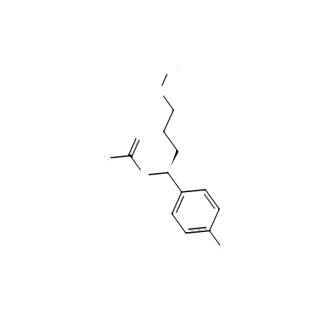 COCCC[C@H](OC(N)=O)c1ccc(F)cc1